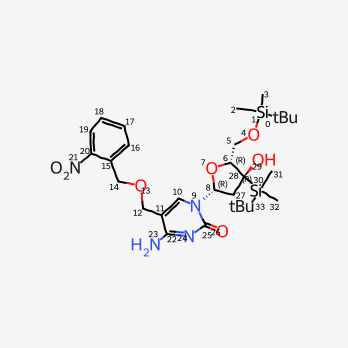 CC(C)(C)[Si](C)(C)OC[C@H]1O[C@@H](n2cc(COCc3ccccc3[N+](=O)[O-])c(N)nc2=O)C[C@@]1(O)[Si](C)(C)C(C)(C)C